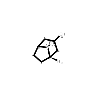 BN1C2CC[C@H]1CC(O)C2